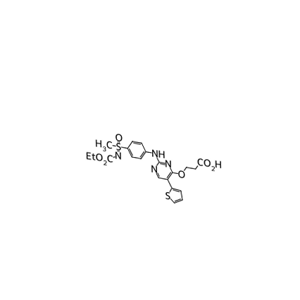 CCOC(=O)N=S(C)(=O)c1ccc(Nc2ncc(-c3cccs3)c(OCCC(=O)O)n2)cc1